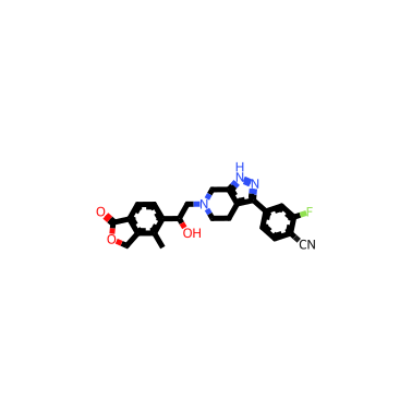 Cc1c(C(O)CN2CCc3c(-c4ccc(C#N)c(F)c4)n[nH]c3C2)ccc2c1COC2=O